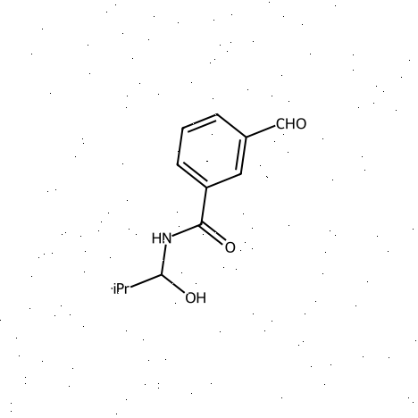 C[C](C)C(O)NC(=O)c1cccc(C=O)c1